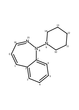 C1=Cc2ccccc2N(N2CCCCC2)N=C1